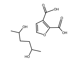 CC(O)CCC(C)O.O=C(O)c1ccoc1C(=O)O